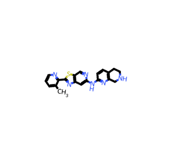 Cc1cccnc1-c1nc2cc(Nc3ccc4c(n3)CNCC4)ncc2s1